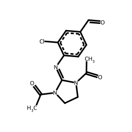 CC(=O)N1CCN(C(C)=O)C1=Nc1ccc(C=O)cc1Cl